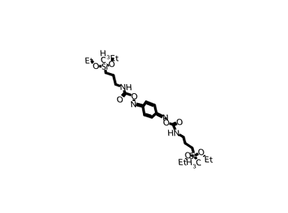 CCO[Si](C)(CCCNC(=O)ON=C1C=CC(=NOC(=O)NCCC[Si](C)(OCC)OCC)C=C1)OCC